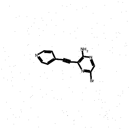 Nc1ncc(Br)nc1C#Cc1ccncc1